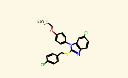 CCOC(=O)COc1ccc(-n2c(SCc3ccc(Cl)cc3)nc3ccc(Cl)cc32)cc1